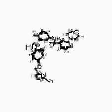 Cc1nc(COc2ccc(Nc3cc(NC(=O)c4ccnc(N5CCOCC5)c4)ccc3C)cc2)cs1